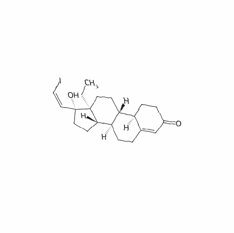 CC[C@]12CC[C@H]3[C@@H](CCC4=CC(=O)CC[C@@H]43)[C@@H]1CC[C@@]2(O)/C=C\I